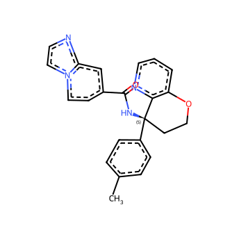 Cc1ccc([C@@]2(NC(=O)c3ccn4ccnc4c3)CCOc3cccnc32)cc1